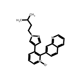 CC(C)CCn1cc(-c2ccc[n+]([O-])c2-c2ccc3cccnc3c2)cn1